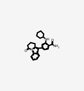 NC(=O)c1ccc(-c2c3n(c4ccccc24)C(=O)CCC3)cc1NC1CCCCC1